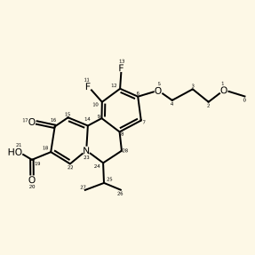 COCCCOc1cc2c(c(F)c1F)-c1cc(=O)c(C(=O)O)cn1C(C(C)C)C2